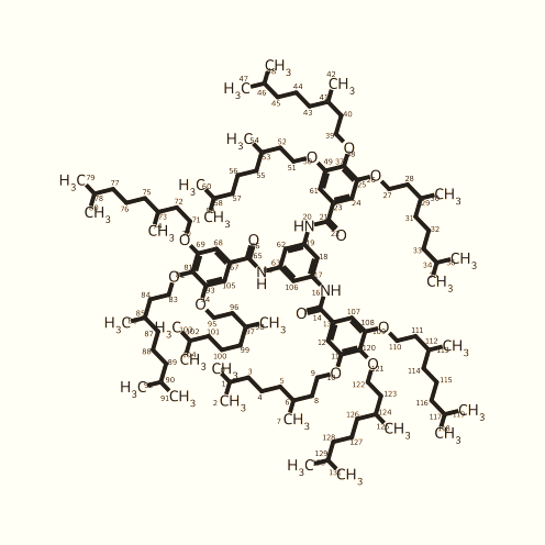 CC(C)CCCC(C)CCOc1cc(C(=O)Nc2cc(NC(=O)c3cc(OCCC(C)CCCC(C)C)c(OCCC(C)CCCC(C)C)c(OCCC(C)CCCC(C)C)c3)cc(NC(=O)c3cc(OCCC(C)CCCC(C)C)c(OCCC(C)CCCC(C)C)c(OCCC(C)CCCC(C)C)c3)c2)cc(OCCC(C)CCCC(C)C)c1OCCC(C)CCCC(C)C